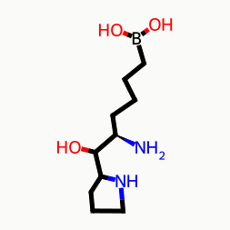 N[C@H](CCCCB(O)O)C(O)C1CCCN1